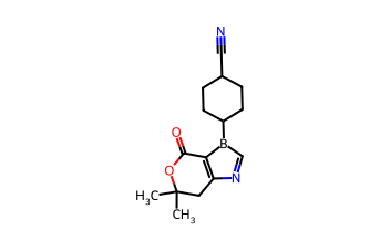 CC1(C)CC2=C(B(C3CCC(C#N)CC3)C=N2)C(=O)O1